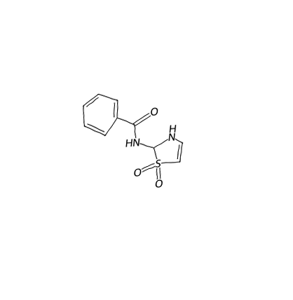 O=C(NC1NC=CS1(=O)=O)c1ccccc1